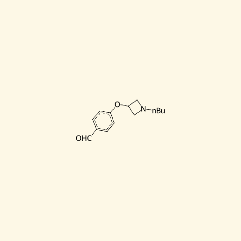 CCCCN1CC(Oc2ccc(C=O)cc2)C1